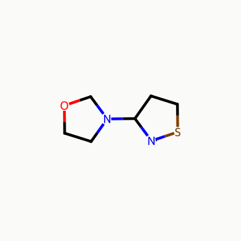 C1CN(C2CCS[N]2)CO1